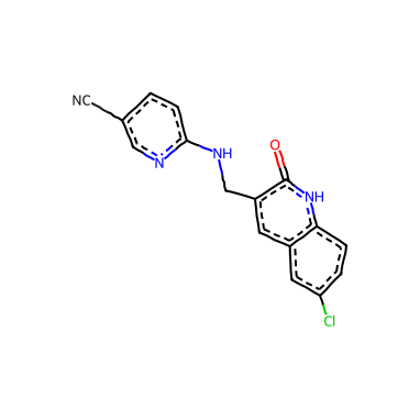 N#Cc1ccc(NCc2cc3cc(Cl)ccc3[nH]c2=O)nc1